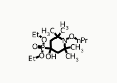 CCCON1C(C)(C)CC(O)(P(=O)(OCC)OCC)CC1(C)C